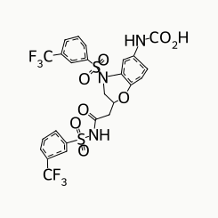 O=C(O)Nc1ccc2c(c1)N(S(=O)(=O)c1cccc(C(F)(F)F)c1)CC(CC(=O)NS(=O)(=O)c1cccc(C(F)(F)F)c1)O2